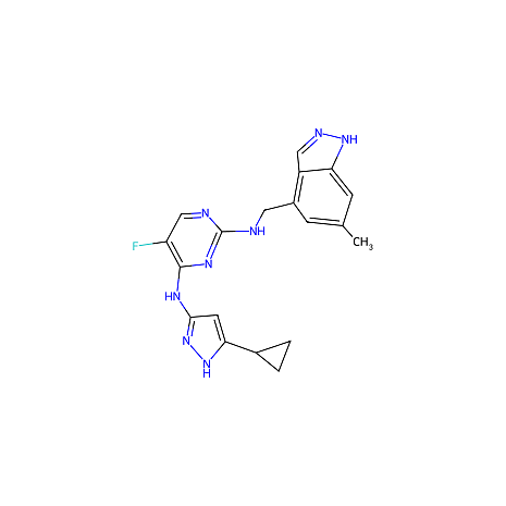 Cc1cc(CNc2ncc(F)c(Nc3cc(C4CC4)[nH]n3)n2)c2cn[nH]c2c1